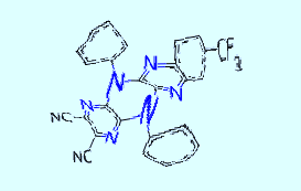 N#Cc1nc2c(nc1C#N)N(c1ccccc1)c1nc3cc(C(F)(F)F)ccc3nc1N2c1ccccc1